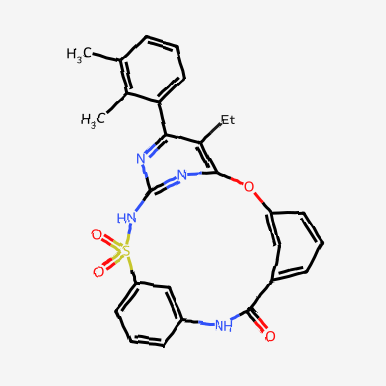 CCc1c2nc(nc1-c1cccc(C)c1C)NS(=O)(=O)c1cccc(c1)NC(=O)c1cccc(c1)O2